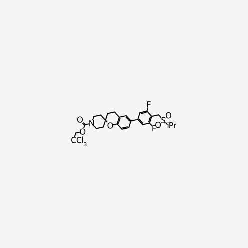 CC(C)S(=O)(=O)Cc1c(F)cc(-c2ccc3c(c2)CCC2(CCN(C(=O)OCC(Cl)(Cl)Cl)CC2)O3)cc1F